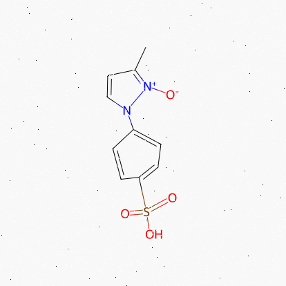 Cc1ccn(-c2ccc(S(=O)(=O)O)cc2)[n+]1[O-]